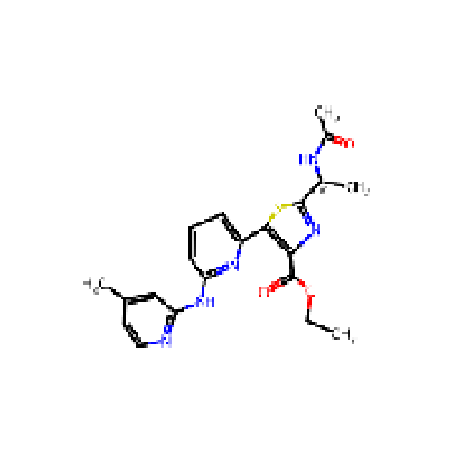 CCOC(=O)c1nc([C@H](C)NC(C)=O)sc1-c1cccc(Nc2cc(C)ccn2)n1